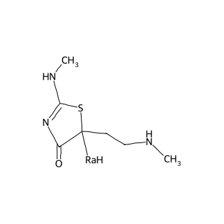 CNCC[C]1([RaH])SC(NC)=NC1=O